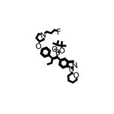 CC/C(=C(/B1OC(C)(C)C(C)(C)O1)c1ccc2c(cnn2C2CCCCO2)c1)c1ccc(O[C@H]2CCN(CCCF)C2)cc1